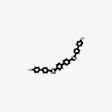 Sc1ccc(-c2ccc(-c3nnc(-c4ccc(-c5ccc(-c6nnc(-c7ccc(-c8ccc(S)cc8)cc7)o6)cc5)cc4)o3)cc2)cc1